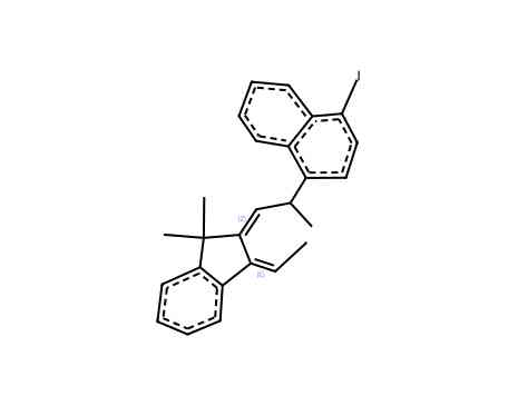 C/C=C1\C(=C/C(C)c2ccc(I)c3ccccc23)C(C)(C)c2ccccc21